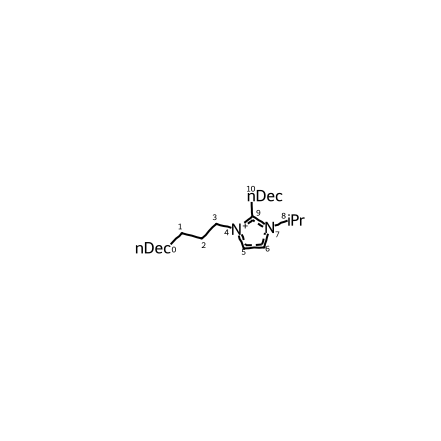 CCCCCCCCCCCCC[n+]1ccn(C(C)C)c1CCCCCCCCCC